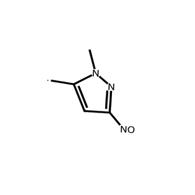 [CH2]c1cc(N=O)nn1C